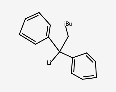 [Li][C](CC(C)CC)(c1ccccc1)c1ccccc1